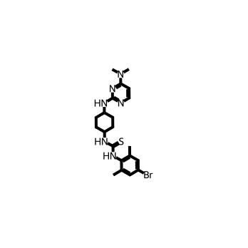 Cc1cc(Br)cc(C)c1NC(=S)NC1CCC(Nc2nccc(N(C)C)n2)CC1